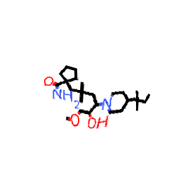 CCC(C)(C)C1CCN(C(CC(C)(C)CC2(C(N)=O)CCCC2)C(O)COC)CC1